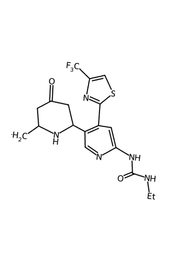 [CH2]C1CC(=O)CC(c2cnc(NC(=O)NCC)cc2-c2nc(C(F)(F)F)cs2)N1